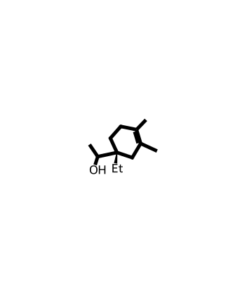 CC[C@@]1(C(C)O)CCC(C)=C(C)C1